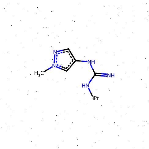 CC(C)NC(=N)Nc1cnn(C)c1